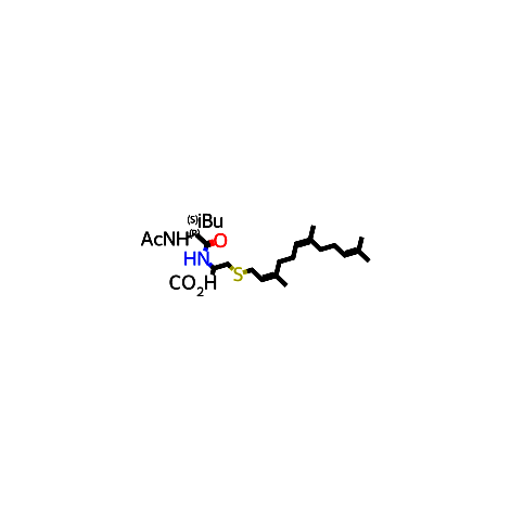 CC[C@H](C)[C@@H](NC(C)=O)C(=O)NC(CSCC=C(C)CCC=C(C)CCC=C(C)C)C(=O)O